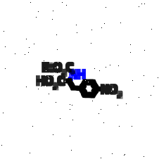 CCOC(=O)NC(Cc1ccc([N+](=O)[O-])cc1)C(=O)O